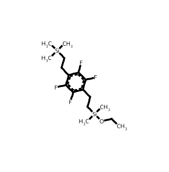 CCO[Si](C)(C)CCc1c(F)c(F)c(CC[Si](C)(C)C)c(F)c1F